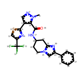 Cn1ncc(-c2nc(C(F)(F)F)cs2)c1C(=O)NC1CCn2cc(-c3ccccc3)nc2C1